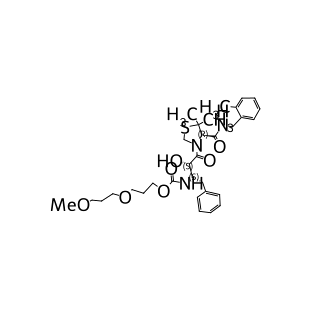 COCCCOCCCOC(=O)N[C@@H](Cc1ccccc1)[C@H](O)C(=O)N1CSC(C)(C)[C@H]1C(=O)NCc1ccccc1C